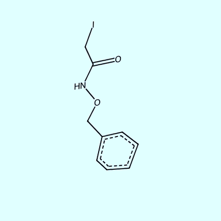 O=C(CI)NOCc1ccccc1